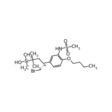 CCCCOc1ccc([C@H](CBr)CC(C)(C)[Si](C)(C)O)cc1NS(C)(=O)=O